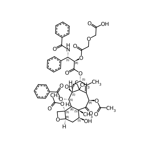 CC(=O)O[C@H]1C(=O)[C@@]2(C)[C@H]([C@H](OC(=O)c3ccccc3)[C@]3(O)C[C@H](OC(=O)[C@H](OC(=O)COCC(=O)O)[C@@H](NC(=O)c4ccccc4)c4ccccc4)C(C)=C1C3(C)C)[C@]1(OC(C)=O)CO[C@@H]1C[C@@H]2O